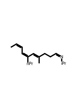 C\C=C/C=C(\C=C(/C)CC/C=N\C(C)C)CCC